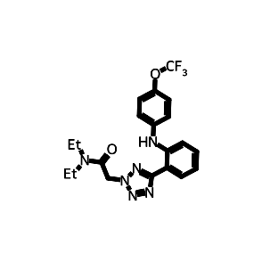 CCN(CC)C(=O)Cn1nnc(-c2ccccc2Nc2ccc(OC(F)(F)F)cc2)n1